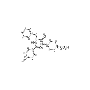 O=C(N[C@@H](Cc1ccccc1)C(=O)NC1CCN(C(=O)O)CC1)c1ccc(F)cc1